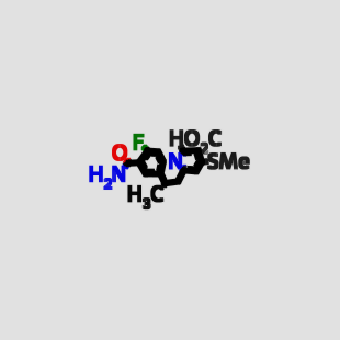 CSc1cc(CC(C)c2ccc(F)c(C(N)=O)c2)nc(C(=O)O)c1